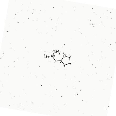 CCN(C)CC1CCCO1